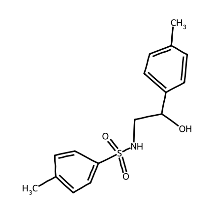 Cc1ccc(C(O)CNS(=O)(=O)c2ccc(C)cc2)cc1